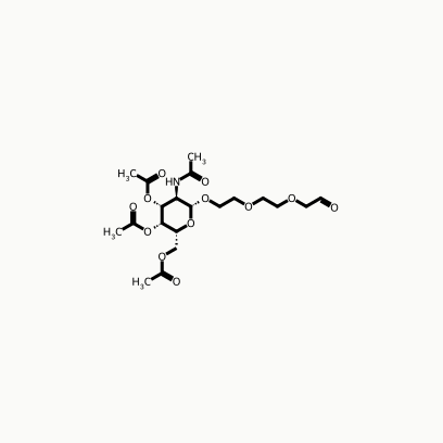 CC(=O)N[C@H]1[C@H](OCCOCCOCC=O)O[C@H](COC(C)=O)[C@H](OC(C)=O)[C@@H]1OC(C)=O